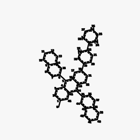 Cc1ccc2c(-c3ccc4ccccc4c3)c3cc(-c4ccc(-c5ncncn5)nc4)ccc3c(-c3ccc4ccccc4c3)c2c1